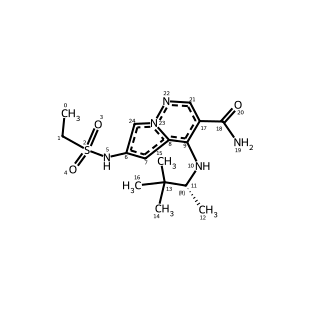 CCS(=O)(=O)Nc1cc2c(N[C@H](C)C(C)(C)C)c(C(N)=O)cnn2c1